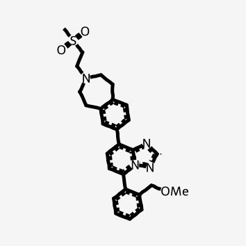 COCc1ccccc1-c1ccc(-c2ccc3c(c2)CCN(CCS(C)(=O)=O)CC3)c2n[c]nn12